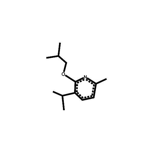 Cc1ccc(C(C)C)c(OCC(C)C)n1